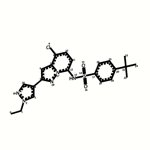 CCn1cc(-c2cc3c(Cl)ccc(NS(=O)(=O)c4ccc(C(C)(C)C)cc4)n3n2)cn1